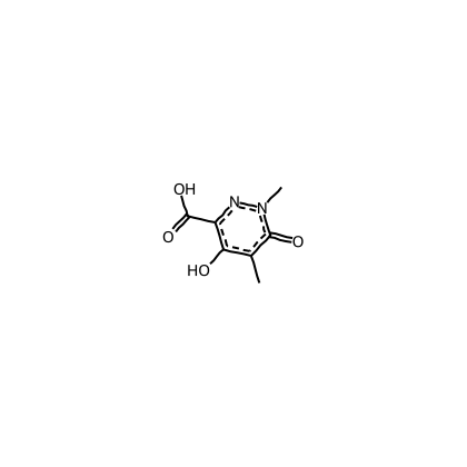 Cc1c(O)c(C(=O)O)nn(C)c1=O